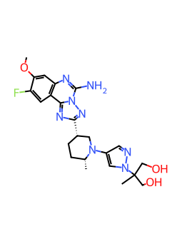 COc1cc2nc(N)n3nc([C@H]4CC[C@@H](C)N(c5cnn(C(C)(CO)CO)c5)C4)nc3c2cc1F